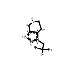 FC(F)(F)Cn1nnc2c1CC[N]C2